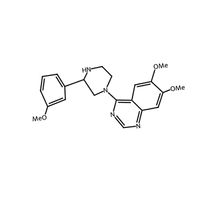 COc1cccc(C2CN(c3ncnc4cc(OC)c(OC)cc34)CCN2)c1